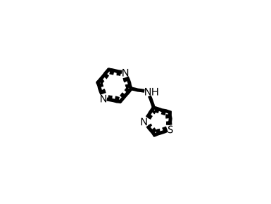 c1cnc(Nc2cscn2)cn1